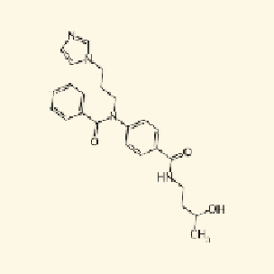 CC(O)CCNC(=O)c1ccc(N(CCCn2ccnc2)C(=O)c2cc[c]cc2)cc1